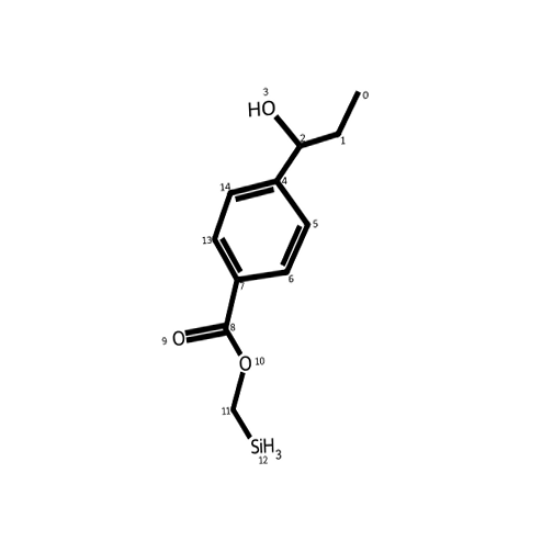 CCC(O)c1ccc(C(=O)OC[SiH3])cc1